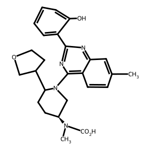 Cc1ccc2c(N3C[C@@H](N(C)C(=O)O)CCC3C3CCOC3)nc(-c3ccccc3O)nc2c1